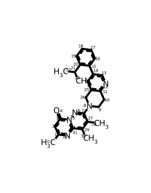 Cc1cc(=O)n2nc(N3CCc4ncc(-c5ccccc5C(C)C)cc4C3)c(C)c(C)c2n1